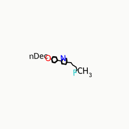 CCCCCCCCCCOc1ccc(-c2ccc(CCCC(C)F)cn2)cc1